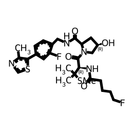 CSC(C)(C)[C@H](NC(=O)CCCCF)C(=O)N1C[C@H](O)CC1C(=O)NCc1ccc(-c2scnc2C)cc1F